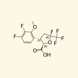 COc1c([C@@H]2C[C@](C)(C(F)(F)F)O[C@H]2C(=O)O)ccc(F)c1F